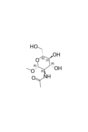 CO[C@@H]1O[C@H](CO)[C@@H](O)[C@H](O)[C@H]1NC(C)=O